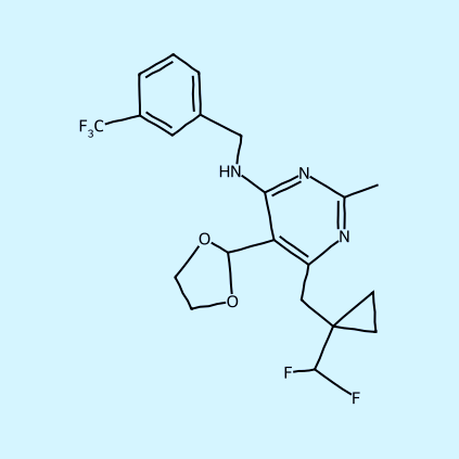 Cc1nc(CC2(C(F)F)CC2)c(C2OCCO2)c(NCc2cccc(C(F)(F)F)c2)n1